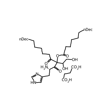 CCCCCCCCCCCCCCCC(=O)OC(C(=O)CCCCCCCCCCCCCCC)(C(=O)[C@@H](N)Cc1c[nH]cn1)C(O)CO.O=C(O)CCC(=O)O